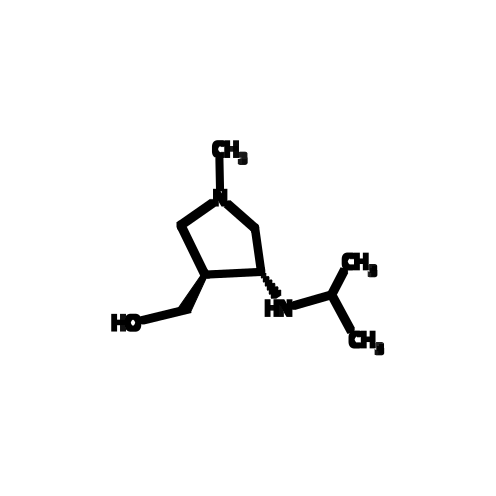 CC(C)N[C@H]1CN(C)C[C@@H]1CO